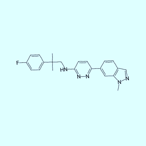 Cn1ncc2ccc(-c3ccc(NCC(C)(C)c4ccc(F)cc4)nn3)cc21